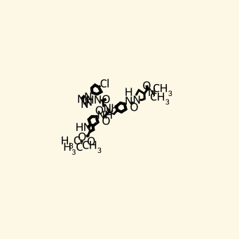 CN(C)C(=O)C1CCN(C(=O)Nc2ccc(C[C@H](NC(=O)C(=O)Nc3cc(Cl)ccc3-n3cnnn3)C(=O)Nc3ccc4[nH]c(C(=O)OC(C)(C)C)cc4c3)cc2)CC1